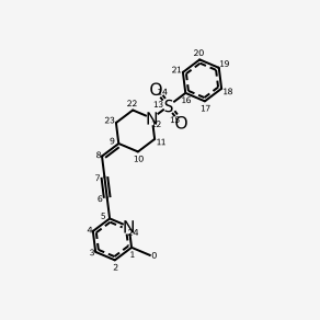 Cc1cccc(C#CC=C2CCN(S(=O)(=O)c3ccccc3)CC2)n1